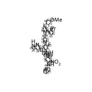 COc1ccc(CN2CCN(C3CC4(CCN(c5cc(Oc6cnc7[nH]ccc7c6)c(C(=O)NS(=O)(=O)c6ccc(NC[C@H]7COCCO7)c([N+](=O)[O-])c6)cc5F)CC4)C3)[C@H](c3ccccc3C(C)C)C2)cc1